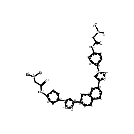 CCN(CC)CC(=O)Nc1ccc(-n2cc(-c3ccc4ccc(-c5cn(-c6ccc(NC(=O)CN(CC)CC)cc6)nn5)cc4c3)nn2)cc1